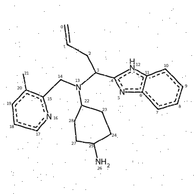 C=CCC(c1nc2ccccc2[nH]1)N(Cc1ncccc1C)C1CCC(N)CC1